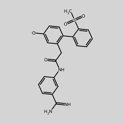 CS(=O)(=O)c1ccccc1-c1ccc([O])cc1CC(=O)Nc1cccc(C(=N)N)c1